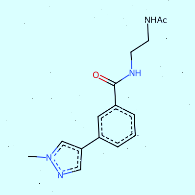 CC(=O)NCCNC(=O)c1c[c]cc(-c2cnn(C)c2)c1